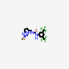 CS[n+]1cn2c(n1)CCC2CNC(=S)Nc1cc(C(F)(F)F)cc(C(F)(F)F)c1